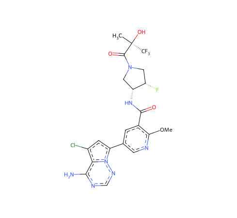 COc1ncc(-c2cc(Cl)c3c(N)ncnn23)cc1C(=O)N[C@@H]1CN(C(=O)[C@@](C)(O)C(F)(F)F)C[C@@H]1F